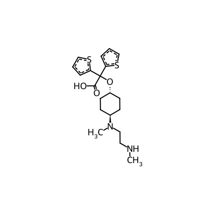 CNCCN(C)[C@H]1CC[C@H](OC(C(=O)O)(c2cccs2)c2cccs2)CC1